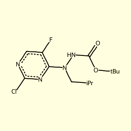 CC(C)CN(NC(=O)OC(C)(C)C)c1nc(Cl)ncc1F